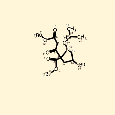 CCCCOC(=O)C1(C(=O)CC(=O)OC(C)(C)C)CC(C(C)(C)C)CN1O[SiH](C)C